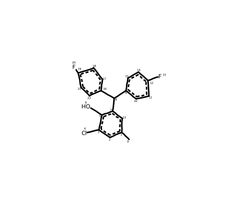 Cc1cc(Cl)c(O)c(C(c2ccc(F)cc2)c2ccc(F)cc2)c1